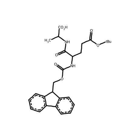 CC(NC(=O)C(CCC(=O)OC(C)(C)C)NC(=O)OCC1c2ccccc2-c2ccccc21)C(=O)O